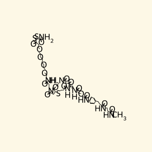 CNC(=O)CCNC(=O)CCc1ccc(NC(=O)COCC(=O)NC[C@@H](NC(=O)CCSC2CC(=O)N(CCC(=O)NCCOCCOCCOCCOCCC(=O)C3(C(N)=O)SS3)C2=O)C(=O)CC(N)=O)cc1